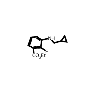 CCOC(=O)c1cccc(NCC2CC2)c1F